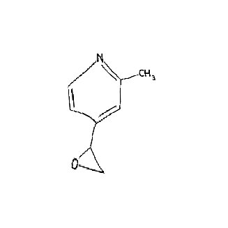 Cc1cc(C2CO2)ccn1